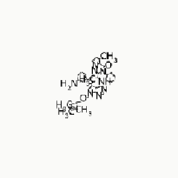 Cc1ccn2nc([C@H](C)Nc3ncnc4c3c(Sc3cccc(N)c3)cn4COCC[Si](C)(C)C)n(-c3ccccc3)c(=O)c12